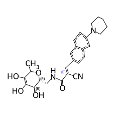 CC1O[C@H](CNC(=O)/C(C#N)=C/c2ccc3cc(N4CCCCC4)ccc3c2)[C@@H](O)C(O)=C1O